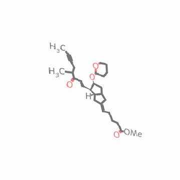 CC#CCC(C)C(=O)/C=C/[C@H]1[C@H](OC2CCCCO2)CC2C/C(=C\CCCC(=O)OC)C[C@@H]21